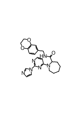 O=C(NCc1ccc2c(c1)OCCO2)C1CCCCCN1c1ccnc(-n2ccnc2)n1